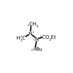 [CH2]CCCN(C(=O)OCC)N(C)C